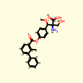 COC(c1ccc(OC(=O)c2cccc(-c3ccccc3)c2C)cc1)C(N)(CO)C(=O)O